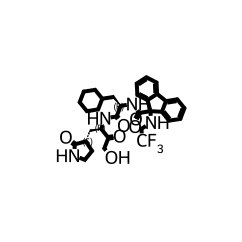 O=C1NCC[C@H]1C[C@@H](NC(=O)[C@@H](CC1CCCCC1)NC(=O)C1(NC(=O)C(F)(F)F)c2ccccc2-c2ccccc21)C(=O)CO